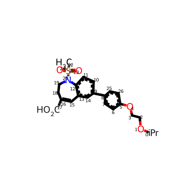 CC(C)OCCOc1ccc(-c2ccc3c(c2)C=C(C(=O)O)CCN3S(C)(=O)=O)cc1